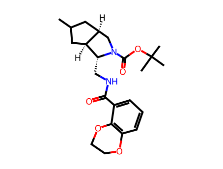 CC1C[C@H]2CN(C(=O)OC(C)(C)C)[C@H](CNC(=O)c3cccc4c3OCCO4)[C@H]2C1